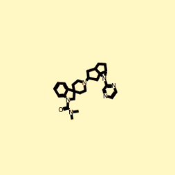 CN(C)C(=O)N1CC2(CCN(C3CC4CCC5N(c6cnccn6)C45C3)CC2)c2ccccc21